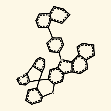 c1ccc2c(c1)Sc1cc3c4ccc5ccccc5c4n(-c4ccc(-c5cccc6ccccc56)cc4)c3cc1C21c2ccccc2-c2ccccc21